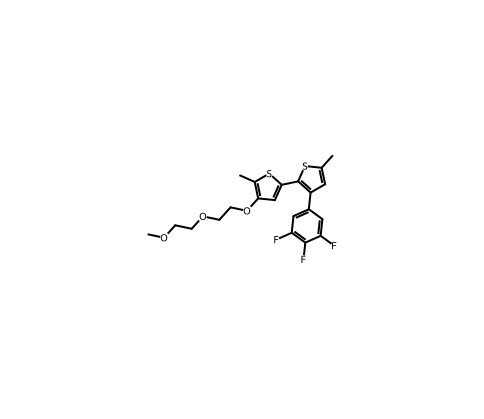 COCCOCCOc1cc(-c2sc(C)cc2-c2cc(F)c(F)c(F)c2)sc1C